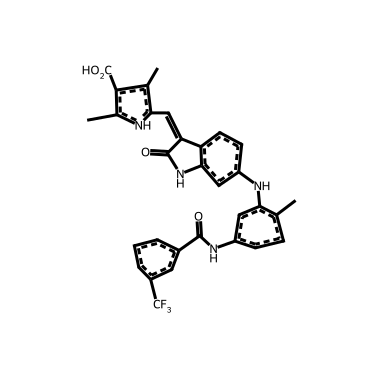 Cc1ccc(NC(=O)c2cccc(C(F)(F)F)c2)cc1Nc1ccc2c(c1)NC(=O)/C2=C\c1[nH]c(C)c(C(=O)O)c1C